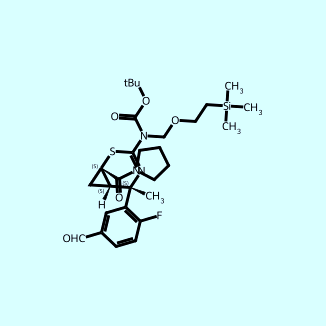 CC(C)(C)OC(=O)N(COCC[Si](C)(C)C)C1=N[C@](C)(c2cc(C=O)ccc2F)[C@@H]2C[C@]2(C(=O)N2CCCC2)S1